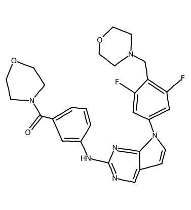 O=C(c1cccc(Nc2ncc3ccn(-c4cc(F)c(CN5CCOCC5)c(F)c4)c3n2)c1)N1CCOCC1